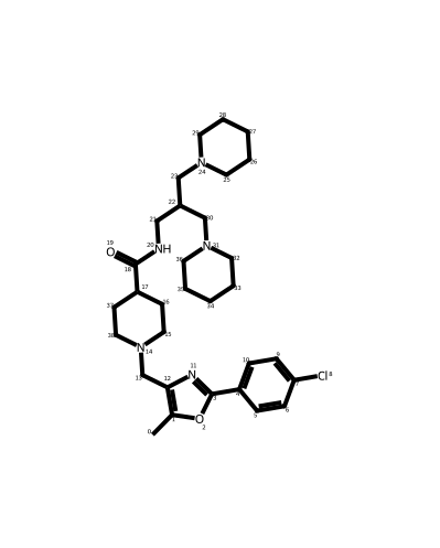 Cc1oc(-c2ccc(Cl)cc2)nc1CN1CCC(C(=O)NCC(CN2CCCCC2)CN2CCCCC2)CC1